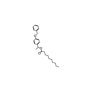 CCCCCCCCCC(=O)OC(C)c1ccc(OCc2ccccc2)cc1